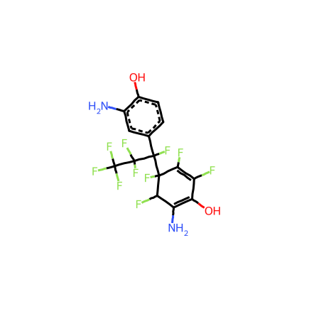 NC1=C(O)C(F)=C(F)C(F)(C(F)(c2ccc(O)c(N)c2)C(F)(F)C(F)(F)F)C1F